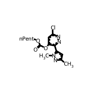 CCCCCOC(=O)Oc1cc(Cl)nnc1-c1cc(C)nn1C